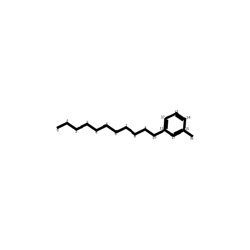 CCCCCCCCCCCc1cccc(C)c1